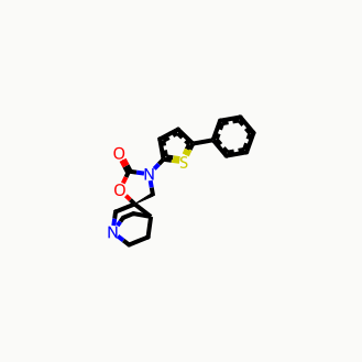 O=C1O[C@]2(CN3CCC2CC3)CN1c1ccc(-c2ccccc2)s1